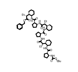 CC[C@@H](C(=O)N[C@@H]1CCC[C@H]1C(=O)N[C@@H]1CCCC[C@@H]1[C@@H](CC)C(=O)N[C@@H]1CCC[C@H]1C(=O)N[C@@H]1CCCC[C@@H]1[C@@H](CC)C(=O)OCc1ccccc1)[C@H]1CCCC[C@H]1NC(=O)[C@@H]1CCC[C@H]1NC(=O)OC(C)(C)C